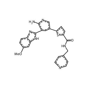 COc1ccc2nc(-c3cc(-c4ccc(C(=O)NCc5ccncc5)s4)cnc3N)[nH]c2c1